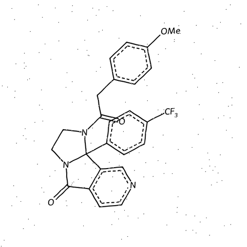 COc1ccc(CC(=O)N2CCN3C(=O)c4ccncc4C23c2ccc(C(F)(F)F)cc2)cc1